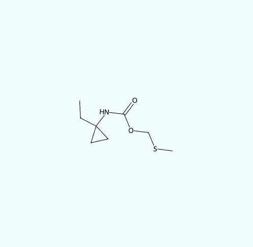 CCC1(NC(=O)OCSC)CC1